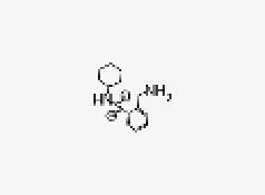 NCc1ccccc1S(=O)(=O)NC1CCCCC1